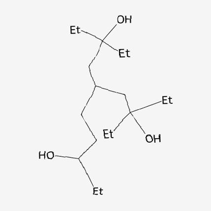 CCC(O)CCC(CC(O)(CC)CC)CC(O)(CC)CC